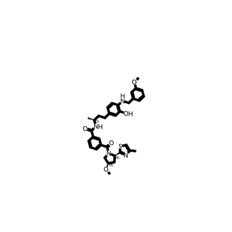 COc1cccc(CNc2ccc(CC[C@H](C)NC(=O)c3cccc(C(=O)N4C[C@H](OC)C[C@@H]4c4nc(C)cs4)c3)cc2O)c1